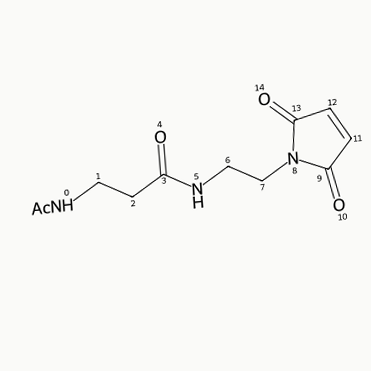 CC(=O)NCCC(=O)NCCN1C(=O)C=CC1=O